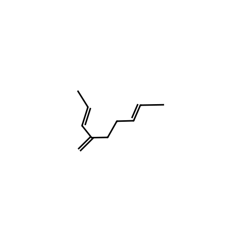 C=C(C=CC)CCC=CC